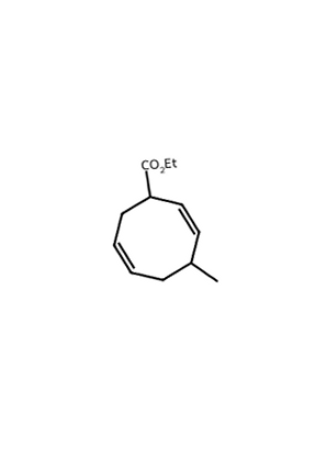 CCOC(=O)C1C=CC(C)CC=CC1